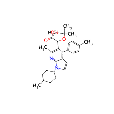 Cc1ccc(-c2c(C(OC(C)(C)C)C(=O)O)c(C)nc3c2ccn3C2CCC(C)CC2)cc1